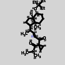 CC[Si](CC)(CC)O[C@@H]1CCC[C@@]2(C)C([C@H](C)/C=C/C(=O)C3(C(=O)N(C)C)CC3)CC[C@H]12